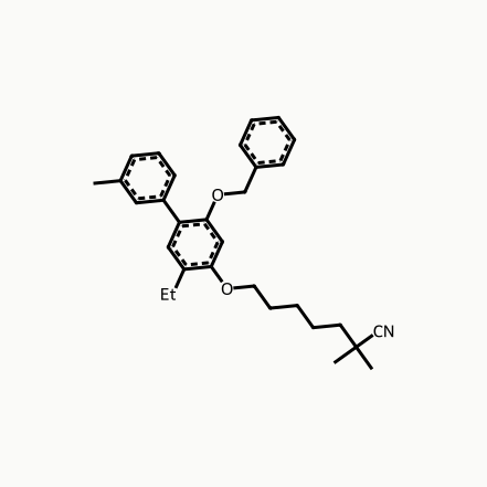 CCc1cc(-c2cccc(C)c2)c(OCc2ccccc2)cc1OCCCCCC(C)(C)C#N